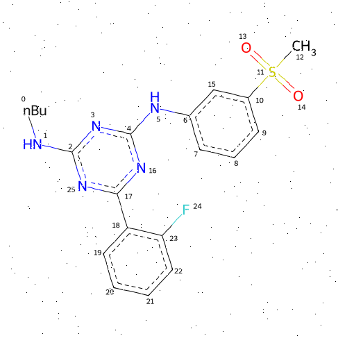 CCCCNc1nc(Nc2cccc(S(C)(=O)=O)c2)nc(-c2ccccc2F)n1